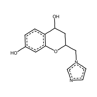 Oc1ccc2c(c1)OC(Cn1ccnc1)CC2O